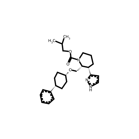 CC(C)COC(=O)N1CCC[C@H](c2cc[nH]n2)[C@@H]1CO[C@H]1CC[C@@H](c2ccccc2)CC1